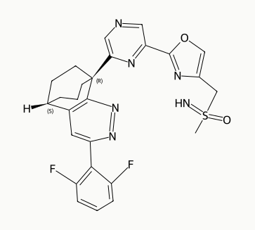 CS(=N)(=O)Cc1coc(-c2cncc([C@@]34CCC[C@@H](CC3)c3cc(-c5c(F)cccc5F)nnc34)n2)n1